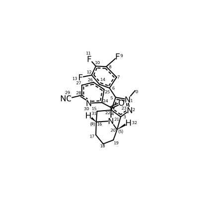 Cn1nc2c(c1-c1cc(F)c(F)c(F)c1)C[C@H]1CCC[C@@H]2N1C(=O)c1cccc(C#N)n1